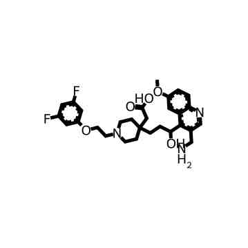 COc1ccc2ncc(CN)c(C(O)CCC3(CC(=O)O)CCN(CCOc4cc(F)cc(F)c4)CC3)c2c1